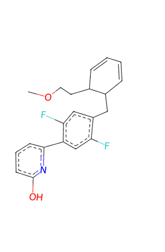 COCCC1C=CC=CC1Cc1cc(F)c(-c2cccc(O)n2)cc1F